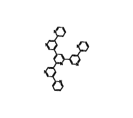 c1ccc(-c2cncc(-c3cc(-c4cncc(-c5ccccn5)c4)nc(-c4cncc(-c5ccccn5)c4)c3)c2)nc1